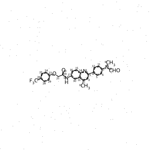 Cc1cc(-c2ccc(N(C)C=O)cc2)nc2ccc(NC(=O)COc3ccc(C(F)(F)F)cc3)cc12